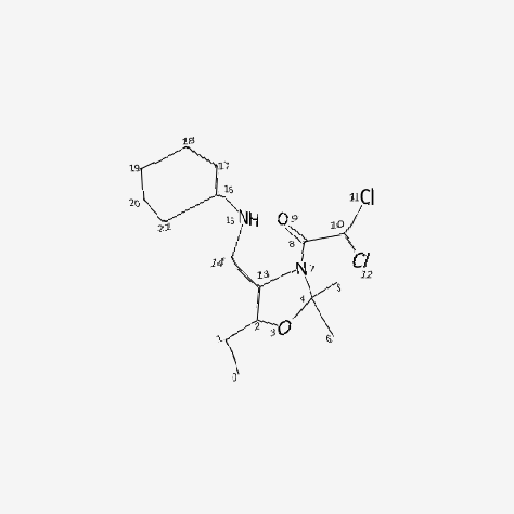 CCC1OC(C)(C)N(C(=O)C(Cl)Cl)C1CNC1CCCCC1